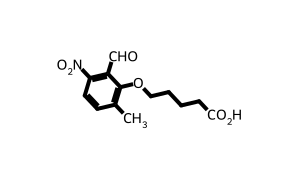 Cc1ccc([N+](=O)[O-])c(C=O)c1OCCCCC(=O)O